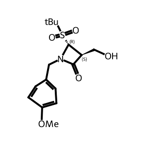 COc1ccc(CN2C(=O)[C@H](CO)[C@H]2S(=O)(=O)C(C)(C)C)cc1